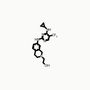 OCCN1CCc2ccc(Nc3ncc(C(F)(F)F)c(NC4CC4)n3)cc2C1